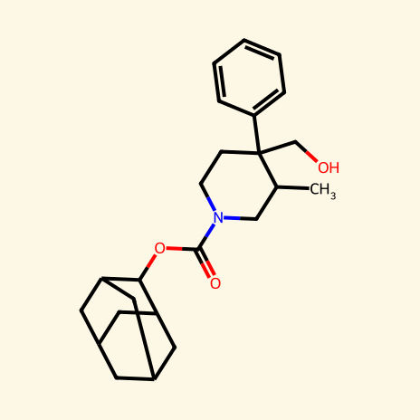 CC1CN(C(=O)OC2C3CC4CC(C3)CC2C4)CCC1(CO)c1ccccc1